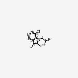 Cc1c(C)n(CC(F)F)c2c(Cl)nncc12